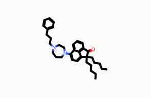 CCCCCC1(CCCCC)C(=O)c2cccc3c(N4CCCN(CCCc5ccccc5)CC4)ccc1c23